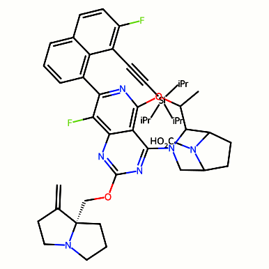 C=C1CCN2CCC[C@]12COc1nc2c3c(nc(-c4cccc5ccc(F)c(C#C[Si](C(C)C)(C(C)C)C(C)C)c45)c(F)c3n1)OC(C)C1C3CCC(CN21)N3C(=O)O